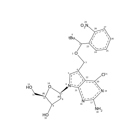 CC(C)(C)C(OCc1cn([C@H]2CC(O)[C@@H](CO)O2)c2nc(N)nc(Cl)c12)c1ccccc1[N+](=O)[O-]